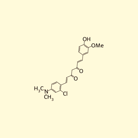 COc1cc(C=CC(=O)CC(=O)C=Cc2ccc(N(C)C)cc2Cl)ccc1O